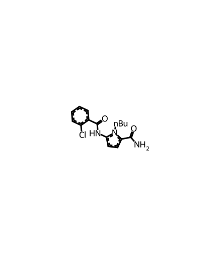 CCCCn1c(NC(=O)c2ccccc2Cl)ccc1C(N)=O